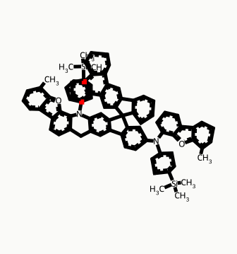 Cc1cccc2c1oc1c(N(c3ccc([Si](C)(C)C)cc3)c3ccc4c(c3)C3(c5ccccc5-c5cc6c7ccccc7c7ccccc7c6cc53)c3cc5c(cc3-4)Cc3ccc4c(oc6c(C)cccc64)c3N5c3ccc([Si](C)(C)C)cc3)cccc12